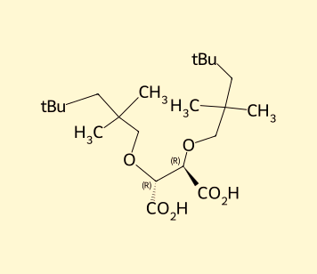 CC(C)(C)CC(C)(C)CO[C@@H](C(=O)O)[C@@H](OCC(C)(C)CC(C)(C)C)C(=O)O